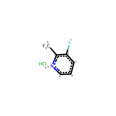 Cl.Fc1cccnc1C(F)(F)F